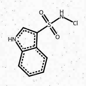 O=S(=O)(NCl)c1c[nH]c2ccccc12